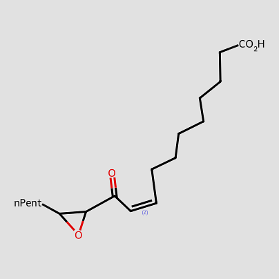 CCCCCC1OC1C(=O)/C=C\CCCCCCCC(=O)O